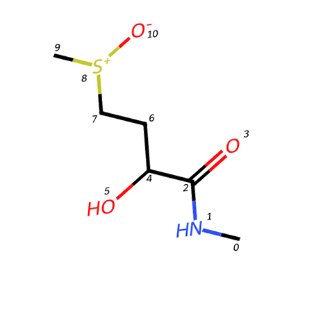 CNC(=O)C(O)CC[S+](C)[O-]